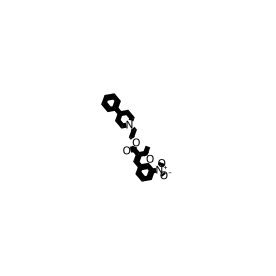 CC(=O)/C(=C\c1cccc([N+](=O)[O-])c1)C(=O)OCCN1CCC(c2ccccc2)CC1